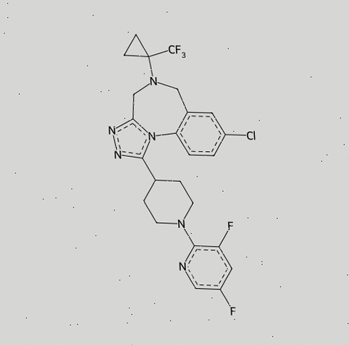 Fc1cnc(N2CCC(c3nnc4n3-c3ccc(Cl)cc3CN(C3(C(F)(F)F)CC3)C4)CC2)c(F)c1